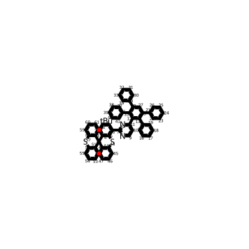 CC(C)(C)c1ccc2c(c1-c1nccc(-c3c(-c4ccccc4)c(-c4ccccc4)cc(-c4ccccc4)c3-c3ccccc3)n1)Sc1ccccc1C21c2ccccc2Sc2ccccc21